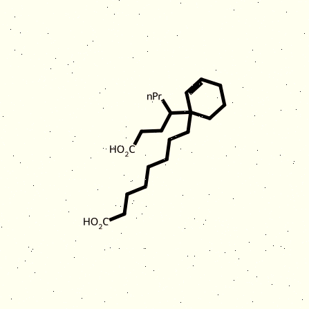 CCCC(CCC(=O)O)C1(CCCCCCCC(=O)O)C=CCCC1